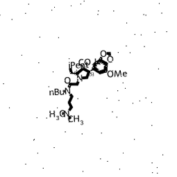 CCCCN(CCCN(C)C)C(=O)CN1C[C@H](c2cc(OC)c3c(c2)OCO3)[C@@H](C(=O)O)[C@@H]1CC(C)CCC